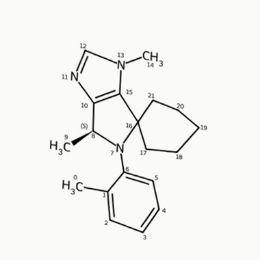 Cc1ccccc1N1[C@@H](C)c2ncn(C)c2C12CCCCC2